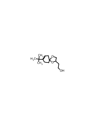 CC(C)(C)C1=CCC2(CC1)OCC(CCO)O2